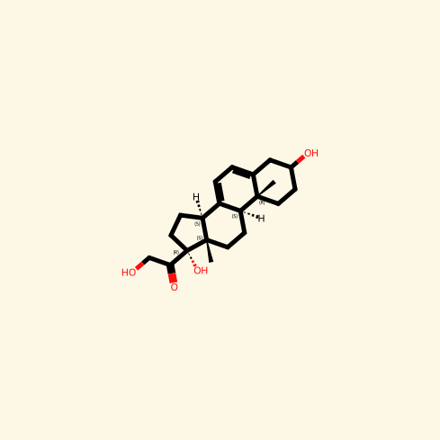 C[C@]12CCC(O)CC1=CC=C1[C@@H]2CC[C@@]2(C)[C@H]1CC[C@]2(O)C(=O)CO